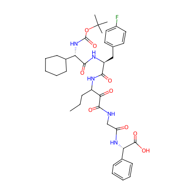 CCCC(NC(=O)[C@H](Cc1ccc(F)cc1)NC(=O)[C@@H](NC(=O)OC(C)(C)C)C1CCCCC1)C(=O)C(=O)NCC(=O)N[C@H](C(=O)O)c1ccccc1